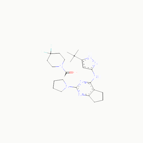 CC(C)(C)c1cc(Nc2nc(N3CCC[C@H]3C(=O)N3CCC(F)(F)CC3)nc3c2CCC3)n[nH]1